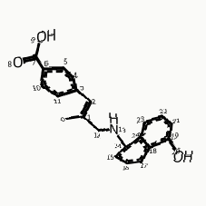 CC(=Cc1ccc(C(=O)O)cc1)CNc1cccc2c(O)cccc12